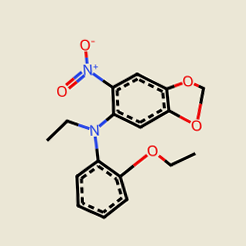 CCOc1ccccc1N(CC)c1cc2c(cc1[N+](=O)[O-])OCO2